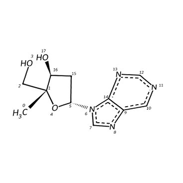 C[C@]1(CO)O[C@@H](n2cnc3cncnc32)C[C@@H]1O